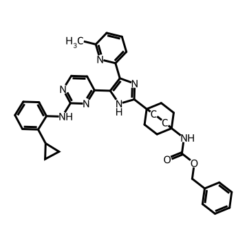 Cc1cccc(-c2nc(C34CCC(NC(=O)OCc5ccccc5)(CC3)CC4)[nH]c2-c2ccnc(Nc3ccccc3C3CC3)n2)n1